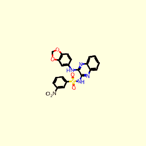 O=[N+]([O-])c1cccc(S(=O)(=O)Nc2nc3ccccc3nc2Nc2ccc3c(c2)OCO3)c1